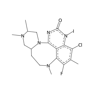 Cc1c(F)c2c3c(nc(=O)n(I)c3c1Cl)N1CC(C)N(C)CC1CCN2C